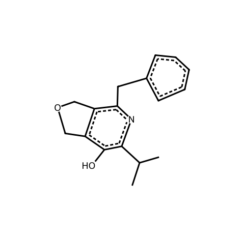 CC(C)c1nc(Cc2ccccc2)c2c(c1O)COC2